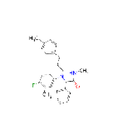 CNC(=O)C(c1ccccc1)N(CCCc1ccc(C)cc1)c1ccc(F)c(C)c1